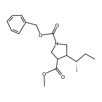 CC[C@H](C)C1CN(C(=O)OCc2ccccc2)CC1C(=O)OC